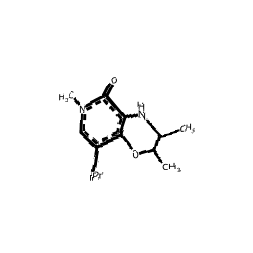 CC(C)c1cn(C)c(=O)c2c1OC(C)C(C)N2